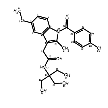 COc1ccc2c(c1)c(CC(=O)NC(CO)(CO)CO)c(C)n2C(=O)c1ccc(Cl)cc1